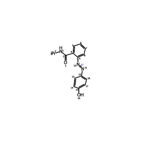 CC(C)NC(=O)c1ccccc1/N=N/c1ccc(O)cc1